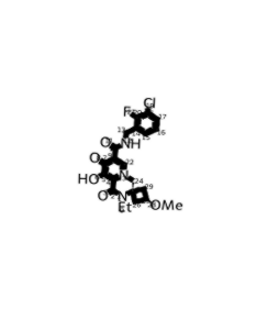 CCN1C(=O)c2c(O)c(=O)c(C(=O)NCc3cccc(Cl)c3F)cn2C[C@]12C[C@@H](OC)C2